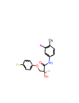 C[C@](O)(COc1ccc(F)cc1)C(=O)Nc1ccc(C#N)c(I)c1